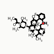 C=CC(=O)N1C(C)CN(c2nc(=O)n(-c3c(C(C)C)ncnc3C(C)C)c3nc(-c4c(O)cccc4F)c(Cl)cc23)CC1C